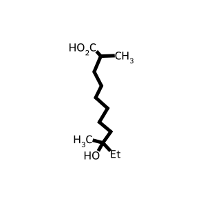 CCC(C)(O)CCCCCCC(C)C(=O)O